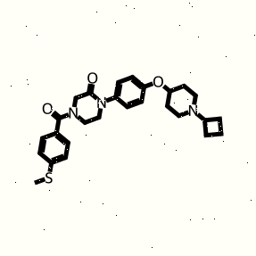 CSc1ccc(C(=O)N2CCN(c3ccc(OC4CCN(C5CCC5)CC4)cc3)C(=O)C2)cc1